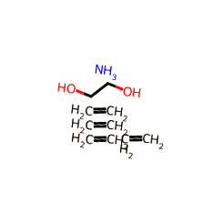 C=C.C=C.C=C.C=C.N.OCCO